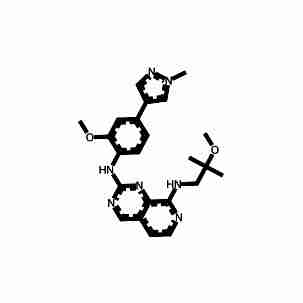 COc1cc(-c2cnn(C)c2)ccc1Nc1ncc2ccnc(NCC(C)(C)OC)c2n1